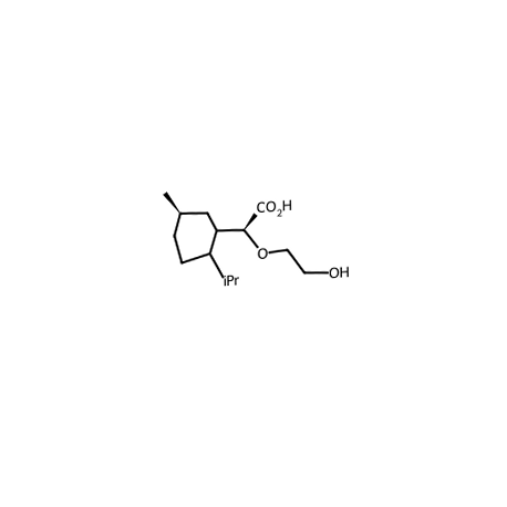 CC(C)C1CC[C@@H](C)CC1[C@H](OCCO)C(=O)O